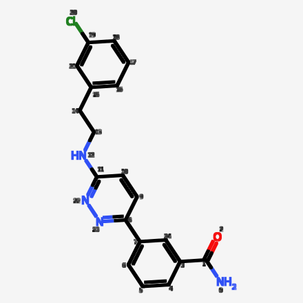 NC(=O)c1cccc(-c2ccc(NCCc3cccc(Cl)c3)nn2)c1